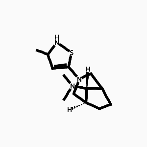 CC1C=C(N2CC3CC[C@@H](C2)[C@@H]3N(C)C)SN1